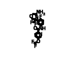 NC1=NC(c2cc(NC(=O)c3ccc(OC(F)F)cn3)ccc2F)(C(F)F)COC1